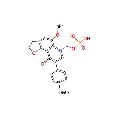 CCCOc1cc2c(c3c(=O)c(-c4ccc(OC)cc4)cn(COP(=O)(O)O)c13)OCC2